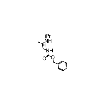 CC(C)N[C@H](C)CNC(=O)OCc1ccccc1